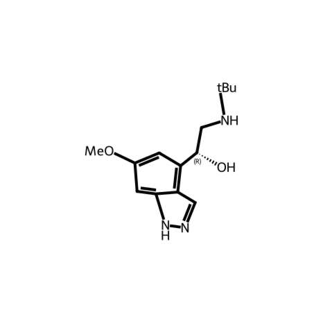 COc1cc([C@@H](O)CNC(C)(C)C)c2cn[nH]c2c1